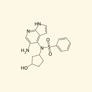 Nc1cnc2[nH]ccc2c1N(C1CCC(O)C1)S(=O)(=O)c1ccccc1